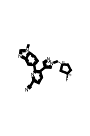 Cn1cnc2cc(-c3nc(C#N)ccc3-c3cnn(C[C@@H]4CC[C@@H](F)C4)c3)ccc21